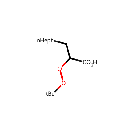 CCCCCCCCC(OOC(C)(C)C)C(=O)O